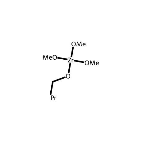 C[O][Zr]([O]C)([O]C)[O]CC(C)C